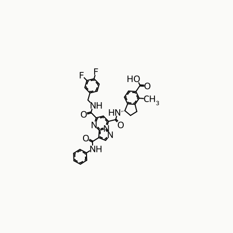 Cc1c(C(=O)O)ccc2c1CC[C@@H]2NC(=O)c1cc(C(=O)NCc2ccc(F)c(F)c2)nc2c(C(=O)Nc3ccccc3)cnn12